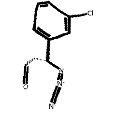 [N-]=[N+]=N[C@H](C=O)c1cccc(Cl)c1